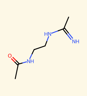 CC(=N)NCCNC(C)=O